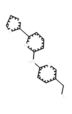 OCc1ccc(Nc2cccc(-c3nccs3)n2)nc1